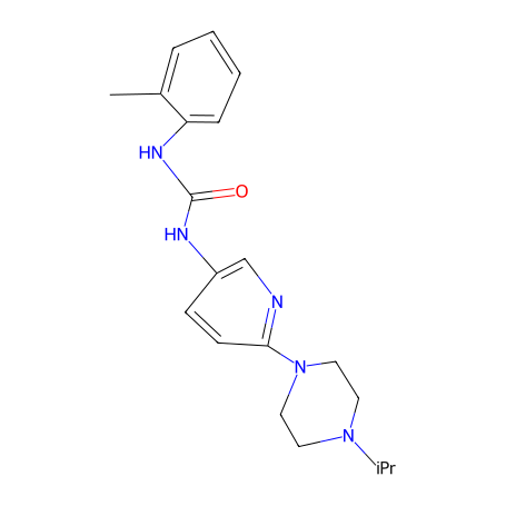 Cc1ccccc1NC(=O)Nc1ccc(N2CCN(C(C)C)CC2)nc1